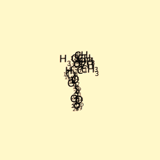 CC(C)(C)c1cc(CC2CCCCC(OC(=O)CCSCCC(=O)Oc3ccccc3)CC2)cc(C(C)(C)C)c1O